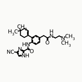 CN(C)CCNC(=O)Cc1ccc(NC(=O)c2nc(C#N)c[nH]2)c(C2=CCC(C)(C)CC2)c1